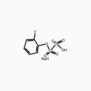 O=S(=O)(O)S(=O)(=O)Oc1ccccc1F.[NaH]